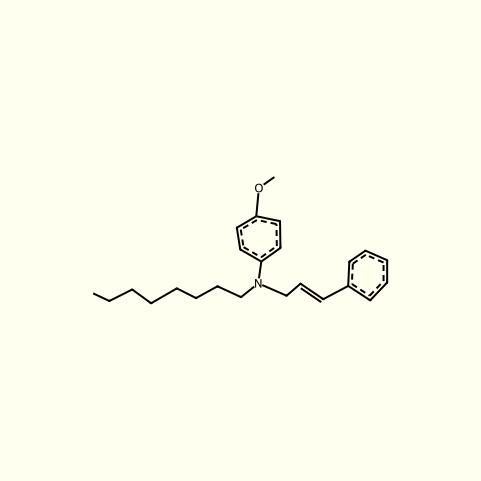 CCCCCCCCN(C/C=C/c1ccccc1)c1ccc(OC)cc1